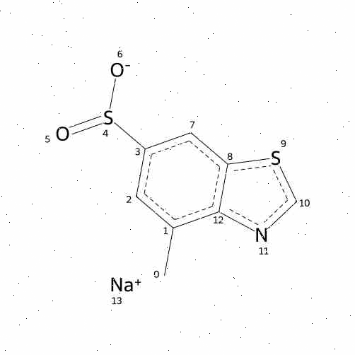 Cc1cc(S(=O)[O-])cc2scnc12.[Na+]